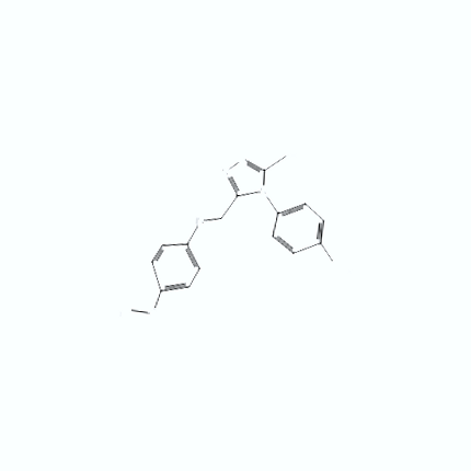 COc1ccc(NCc2nnc(S)n2-c2ccc(C)cc2)cc1